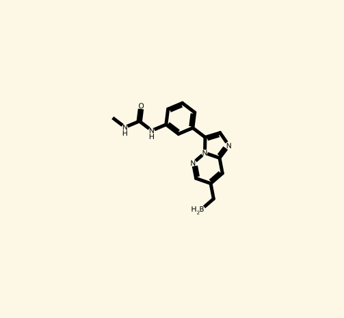 BCc1cnn2c(-c3cccc(NC(=O)NC)c3)cnc2c1